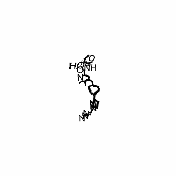 Cc1nc(C(=O)N[C@H]2COCC[C@@H]2O)cc(Cc2ccc(-c3ccn(CN=[N+]=[N-])n3)cc2)c1C